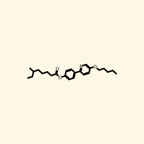 CCCCCOc1ccc(-c2ccc(OC(=O)CCCCC(C)CC)cc2)nc1